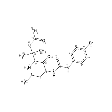 CCCC(NC(=O)Nc1ccc(Br)cc1)C(=O)C(N)C(C)(C)OC(C)=O